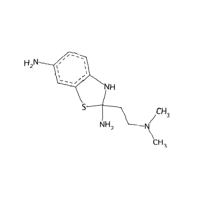 CN(C)CCC1(N)Nc2ccc(N)cc2S1